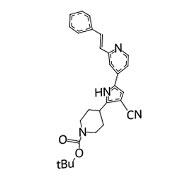 CC(C)(C)OC(=O)N1CCC(c2[nH]c(-c3ccnc(C=Cc4ccccc4)c3)cc2C#N)CC1